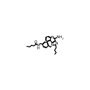 CCCCC(=O)NCc1ccc(Cn2c(CCCC)nc3c(N)nc4ccccc4c32)cc1